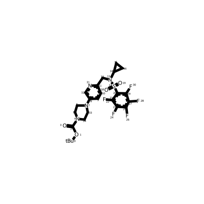 CC(C)(C)OC(=O)N1CCN(c2ccc(CN(C3CC3)S(=O)(=O)c3c(F)c(F)c(F)c(F)c3F)nc2)CC1